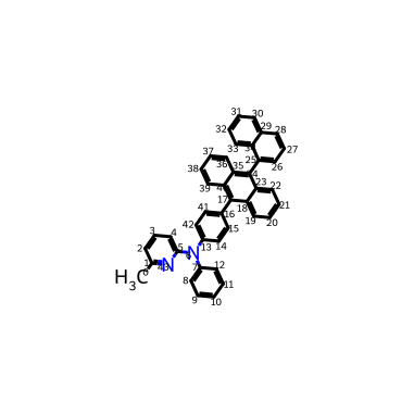 Cc1cccc(N(c2ccccc2)c2ccc(-c3c4ccccc4c(-c4cccc5ccccc45)c4ccccc34)cc2)n1